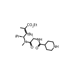 CCOC(=O)/C(C)=C/[C@H](C(C)C)N(C)C(=O)[C@@H](NC(=O)C1CCNCC1)C(C)(C)C